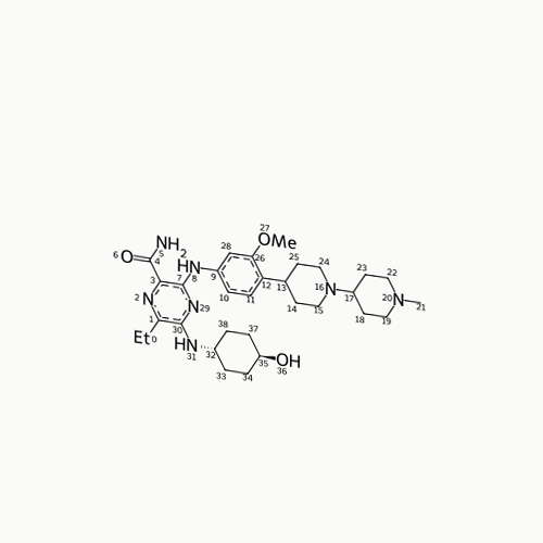 CCc1nc(C(N)=O)c(Nc2ccc(C3CCN(C4CCN(C)CC4)CC3)c(OC)c2)nc1N[C@H]1CC[C@H](O)CC1